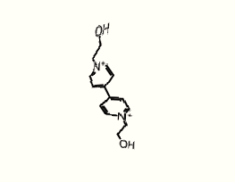 OCC[n+]1ccc(-c2cc[n+](CCO)cc2)cc1